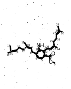 COC(=O)c1ccc(CC=C(C)CCC=C(C)C)c(N)c1CC=C(C)CCC=C(C)C